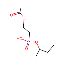 CCC(C)OP(=O)(O)CCOC(C)=O